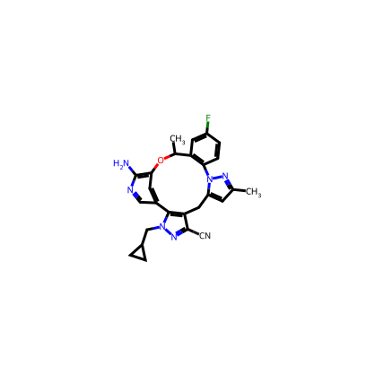 Cc1cc2n(n1)-c1ccc(F)cc1C(C)Oc1cc(cnc1N)-c1c(c(C#N)nn1CC1CC1)C2